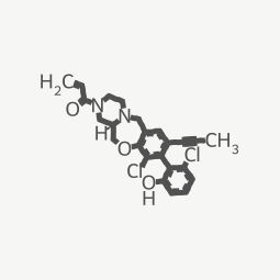 C=CC(=O)N1CCN2Cc3cc(C#CC)c(-c4c(O)cccc4Cl)c(Cl)c3OC[C@H]2C1